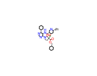 CC(C)c1ccc(C(O)Nc2c(-c3ccccc3)ncnc2N2CCC(F)(C(=O)OCc3ccccc3)C2)cn1